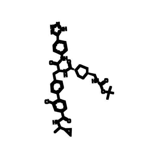 CC(NC(=O)c1ccc(-c2ccc(CC(NC(=O)[C@H]3CC[C@H](CNC(=O)OC(C)(C)C)CC3)C(=O)Nc3ccc(-c4nnn[nH]4)cc3)cc2)c(Cl)c1)C1CC1